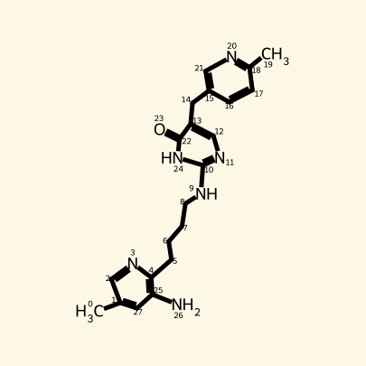 Cc1cnc(CCCCNc2ncc(Cc3ccc(C)nc3)c(=O)[nH]2)c(N)c1